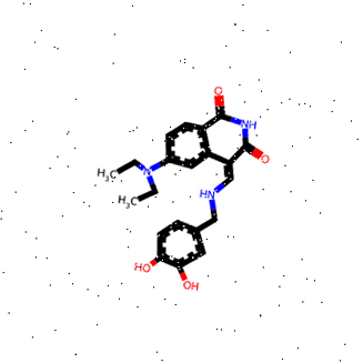 CCN(CC)c1ccc2c(c1)/C(=C\NCc1ccc(O)c(O)c1)C(=O)NC2=O